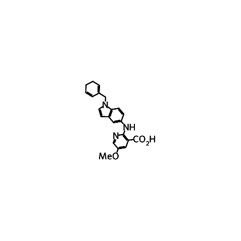 COc1cnc(Nc2ccc3c(ccn3CC3=CCCC=C3)c2)c(C(=O)O)c1